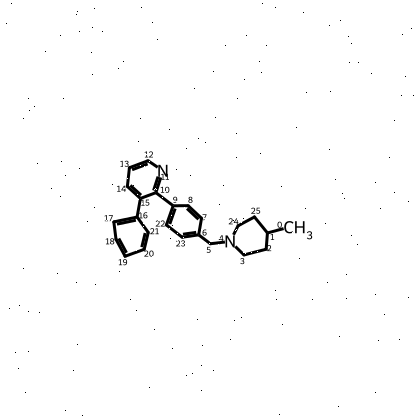 CC1CCN(Cc2ccc(-c3ncccc3-c3ccccc3)cc2)CC1